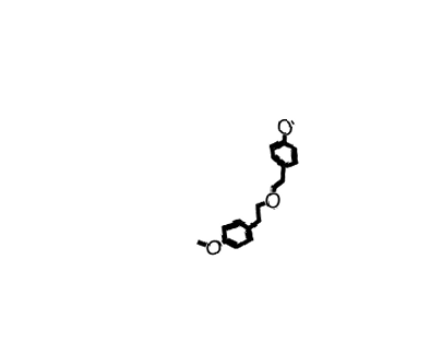 COc1ccc(CCOCCc2ccc(OC)cc2)cc1